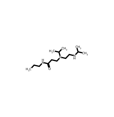 CCCNC(=O)CCN(CCNC(C)C)C(C)C